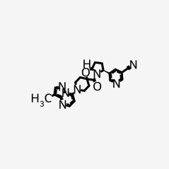 Cc1cnn2c(N3CCC4(CC3)O[C@@H]3CC[C@@H](c5cncc(C#N)c5)N3C4=O)ccnc12